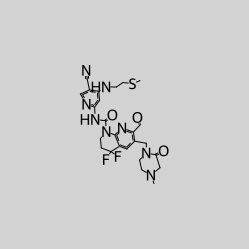 CSCCNc1cc(NC(=O)N2CCC(F)(F)c3cc(CN4CCN(C)CC4=O)c(C=O)nc32)ncc1C#N